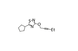 CCC#CCOc1nsc(C2CCCC2)n1